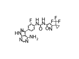 Nc1ncnc2[nH]nc(-c3ccc(NC(=O)Nc4cc(C5(C(F)(F)F)CC5)no4)c(F)c3)c12